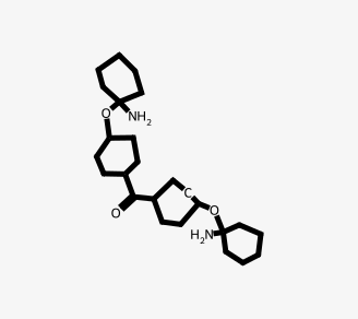 NC1(OC2CCC(C(=O)C3CCC(OC4(N)CCCCC4)CC3)CC2)CCCCC1